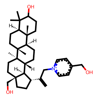 C=C(C[n+]1ccc(CO)cc1)[C@@H]1CC[C@]2(CO)CC[C@]3(C)[C@H](CC[C@@H]4[C@@]5(C)CCC(O)C(C)(C)[C@@H]5CC[C@]43C)[C@@H]12